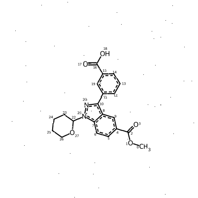 COC(=O)c1ccc2c(c1)c(-c1cccc(C(=O)O)c1)nn2C1CCCCO1